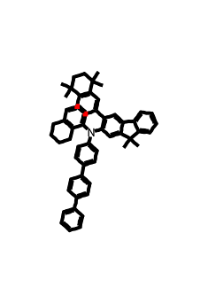 CC1(C)CCC(C)(C)c2cc(-c3cc4c(cc3N(c3ccc(-c5ccc(-c6ccccc6)cc5)cc3)c3cccc5c3CCCC5)C(C)(C)c3ccccc3-4)ccc21